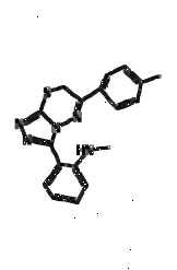 CNc1ccccc1-c1nnc2n1N=C(c1ccc(C)cc1)CS2